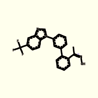 C/C(=N/O)c1ccccc1-c1cccc(-n2cnc3cc(C(F)(F)F)ccc32)c1